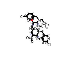 CCN(Cc1ccc(Cl)nc1)C(=N\C)/C(=C\C/C=C(\C(=N\C)N(CC)Cc1ccc(Cl)nc1)[N+](=O)[O-])[N+](=O)[O-]